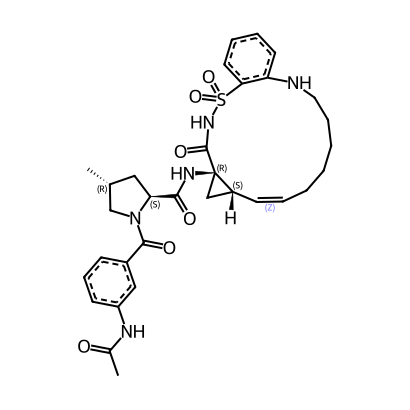 CC(=O)Nc1cccc(C(=O)N2C[C@H](C)C[C@H]2C(=O)N[C@]23C[C@H]2/C=C\CCCCCNc2ccccc2S(=O)(=O)NC3=O)c1